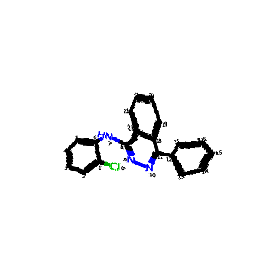 Clc1ccccc1Nc1nnc(-c2ccccc2)c2ccccc12